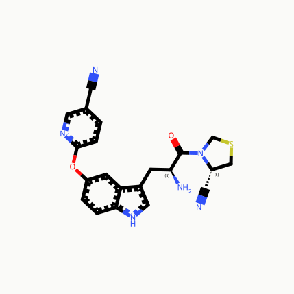 N#Cc1ccc(Oc2ccc3[nH]cc(C[C@H](N)C(=O)N4CSC[C@@H]4C#N)c3c2)nc1